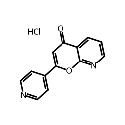 Cl.O=c1cc(-c2ccncc2)oc2ncccc12